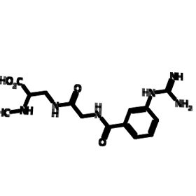 N=C(N)Nc1cccc(C(=O)NCC(=O)NCC(NC=O)C(=O)O)c1